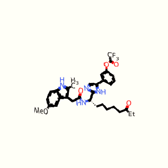 CCC(=O)CCCCC[C@H](NC(=O)Cc1c(C)[nH]c2ccc(OC)cc12)c1ncc(-c2cccc(OC(=O)C(F)(F)F)c2)[nH]1